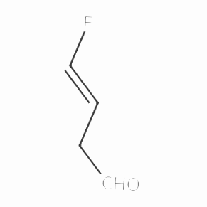 O=CCC=CF